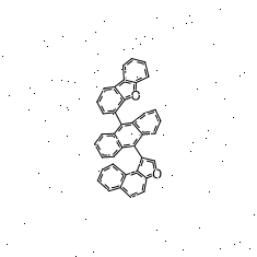 c1ccc2c(c1)ccc1occ(-c3c4ccccc4c(-c4cccc5c4oc4ccccc45)c4ccccc34)c12